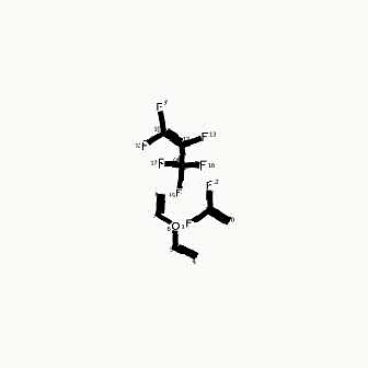 C=C(F)F.C=COC=C.FC(F)=C(F)C(F)(F)F